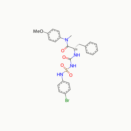 COc1ccc(N(C)C(=O)[C@H](Cc2ccccc2)NC(=O)NS(=O)(=O)Nc2ccc(Br)cc2)cc1